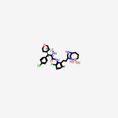 O=C(O)N[C@@H](C(=O)Nc1c(F)ccc(F)c1CCC1CNC2CCCS(O)(O)N1C2)[C@@H](c1ccc(Cl)cc1)C1CCOCC1